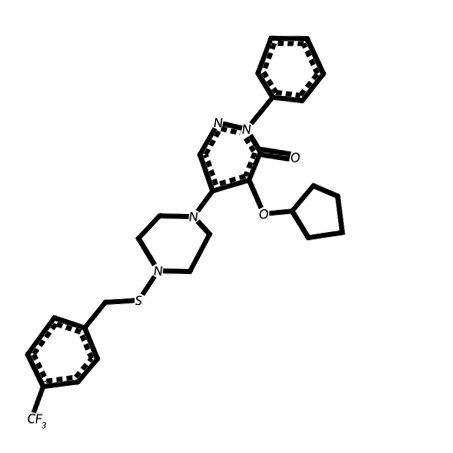 O=c1c(OC2CCCC2)c(N2CCN(SCc3ccc(C(F)(F)F)cc3)CC2)cnn1-c1ccccc1